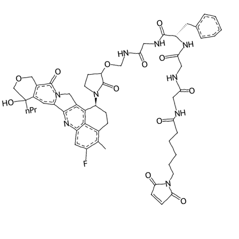 CCCC1(O)COCc2c1cc1n(c2=O)Cc2c-1nc1cc(F)c(C)c3c1c2[C@@H](N1CCC(OCNC(=O)CNC(=O)[C@H](Cc2ccccc2)NC(=O)CNC(=O)CNC(=O)CCCCCN2C(=O)C=CC2=O)C1=O)CC3